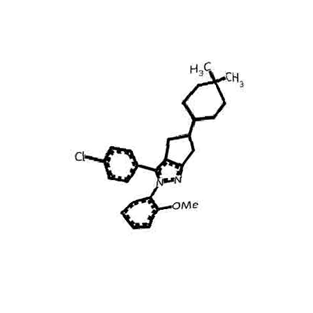 COc1ccccc1-n1nc2c(c1-c1ccc(Cl)cc1)CC(C1CCC(C)(C)CC1)C2